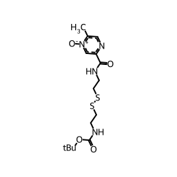 Cc1cnc(C(=O)NCCSSCCNC(=O)OC(C)(C)C)c[n+]1[O-]